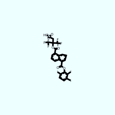 O=C(Oc1c(I)ccc(I)c1I)c1cccc2c(C(=O)OC(CS(=O)(=O)O)(C(F)(F)F)C(F)(F)F)cccc12